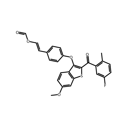 COc1ccc2c(Oc3ccc(/C=C/OC=O)cc3)c(C(=O)c3cc(F)ccc3C)sc2c1